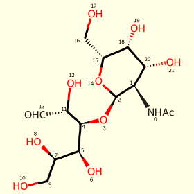 CC(=O)N[C@H]1[C@@H](O[C@@H]([C@@H](O)[C@H](O)CO)[C@@H](O)C=O)O[C@H](CO)[C@H](O)[C@@H]1O